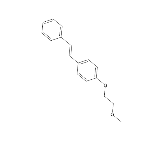 COCCOc1ccc(C=Cc2ccccc2)cc1